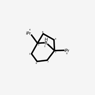 CC(C)C12BC(C(C)C)(CCC1)CC2